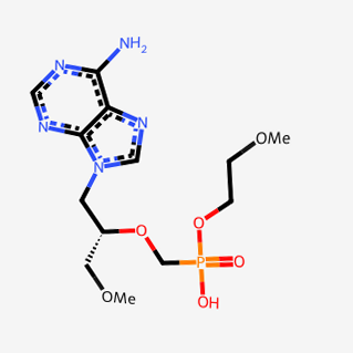 COCCOP(=O)(O)CO[C@H](COC)Cn1cnc2c(N)ncnc21